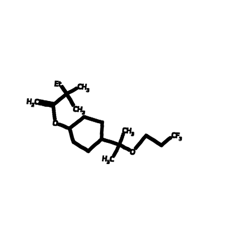 C=C(OC1CCC(C(C)(C)OCCC(F)(F)F)CC1)C(C)(C)CC